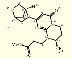 COC(=O)CCN1c2nc(N3C[C@@H]4C[C@H]3CO4)cc(=O)n2CC[C@H]1C(F)(F)F